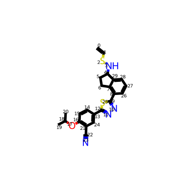 C=CSNC1CCc2c(-c3nnc(-c4ccc(OC(C)C)c(C#N)c4)s3)cccc21